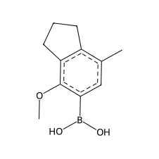 COc1c(B(O)O)cc(C)c2c1CCC2